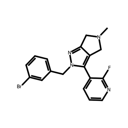 CN1Cc2nn(Cc3cccc(Br)c3)c(-c3cccnc3F)c2C1